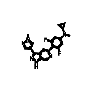 CN(c1cc(F)c(-c2cc3c(-c4cnn(C)c4)n[nH]c3cn2)c(F)c1)C1CC1